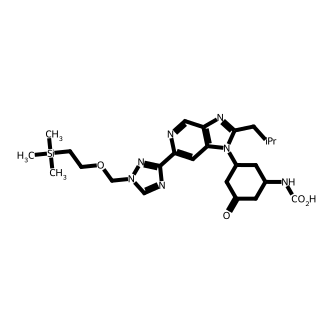 CC(C)Cc1nc2cnc(-c3ncn(COCC[Si](C)(C)C)n3)cc2n1C1CC(=O)CC(NC(=O)O)C1